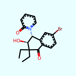 CCC1(CC)C(=O)c2ccc(Br)cc2[C@@H](n2ccccc2=O)[C@@H]1O